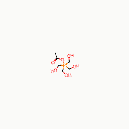 CC(=O)OP(CO)(CO)(CO)CO